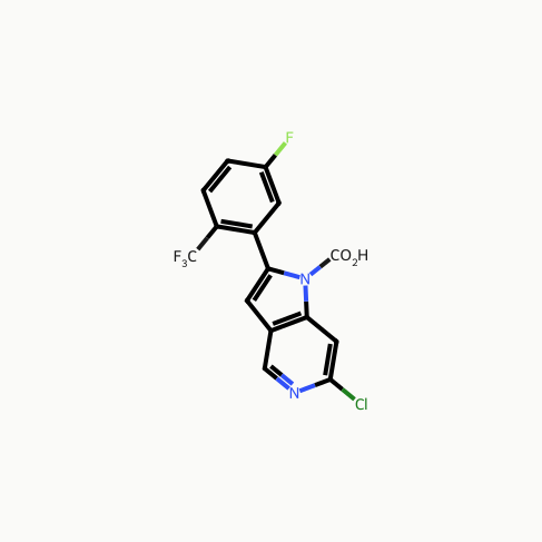 O=C(O)n1c(-c2cc(F)ccc2C(F)(F)F)cc2cnc(Cl)cc21